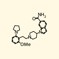 COc1cccc(N2CCCC2)c1CCN1CCC(n2ccc3ccc(C(N)=O)cc32)CC1